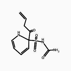 C=CCC(=O)C1(S(=O)(=O)NC(N)=O)C=CC=CN1